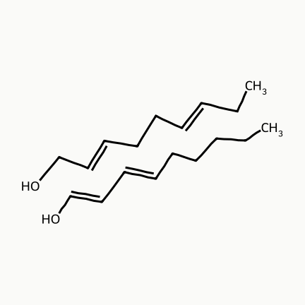 CCC=CCCC=CCO.CCCCCC=CC=CO